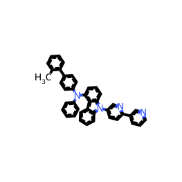 Cc1ccccc1-c1ccc(N(c2ccccc2)c2cccc3c2c2ccccc2n3-c2ccc(-c3cccnc3)nc2)cc1